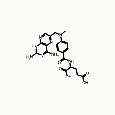 CN(Cc1cnc2c(n1)C(N)=NC(N)N2)c1ccc(C(=O)NC(CCC(=O)O)C(=O)O)cc1